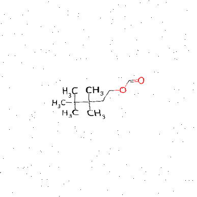 CC(C)(C)C(C)(C)CCOC=O